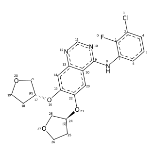 Fc1c(Cl)cccc1Nc1ncnc2cc(O[C@@H]3CCOC3)c(O[C@H]3CCOC3)cc12